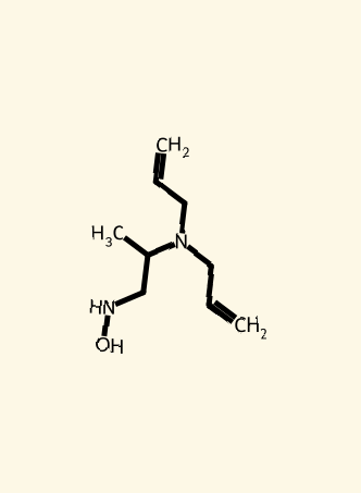 C=CCN(CC=C)C(C)CNO